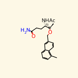 CC(=O)N[C@@H](CCC(N)=O)[C@@H](C)OCc1ccc2c(C)cccc2c1